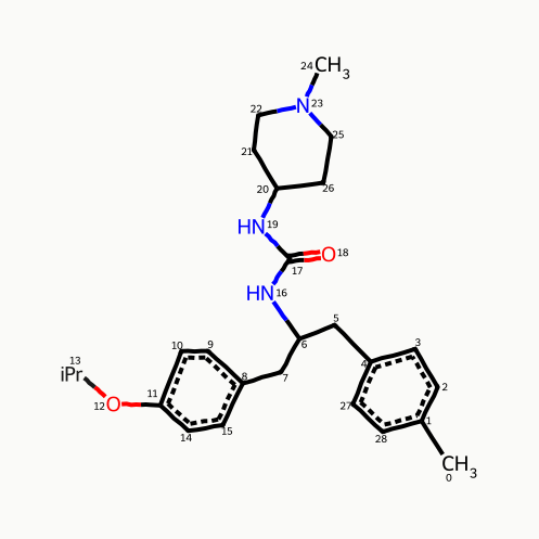 Cc1ccc(CC(Cc2ccc(OC(C)C)cc2)NC(=O)NC2CCN(C)CC2)cc1